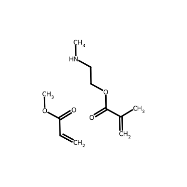 C=C(C)C(=O)OCCNC.C=CC(=O)OC